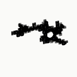 CC[C@@H]1OC(=O)[C@H](C)[C@H](O[C@@H]2C[C@](C)(OC)[C@H](OC(=O)CCNCCCc3ccc4c(c3)c(=O)c(C(=O)O)cn4CC)[C@H](C)O2)[C@@H](C)[C@H](O[C@@H]2O[C@H](C)C[C@H](N(C)C)[C@@H]2O)[C@](C)(O)C[C@H](C)/C(=N\OCOCCOC)[C@H](C)[C@H](O)[C@@]1(C)O